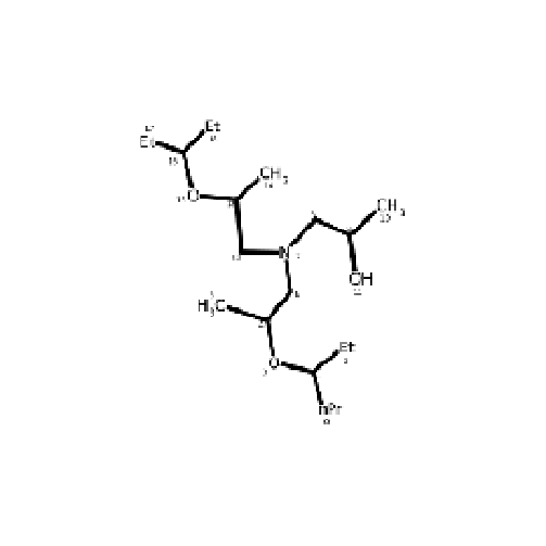 CCCC(CC)OC(C)CN(CC(C)O)CC(C)OC(CC)CC